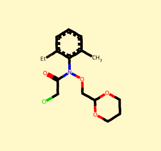 CCc1cccc(C)c1N(OCC1OCCCO1)C(=O)CCl